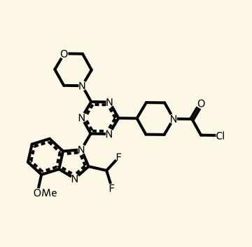 COc1cccc2c1nc(C(F)F)n2-c1nc(C2CCN(C(=O)CCl)CC2)nc(N2CCOCC2)n1